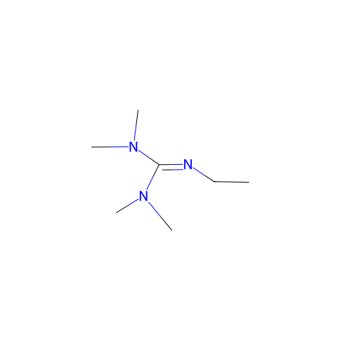 CCN=C(N(C)C)N(C)C